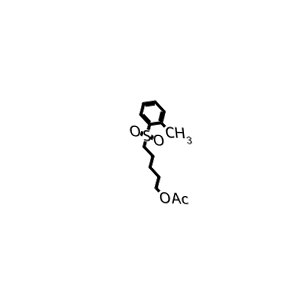 CC(=O)OCCCCCS(=O)(=O)c1ccccc1C